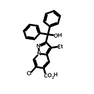 CCc1c(C(O)(c2ccccc2)c2ccccc2)nn2cc(Cl)c(C(=O)O)cc12